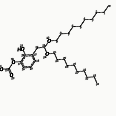 CCCCCCCCCCOC(Cc1cccc(OC(=O)O)c1O)OCCCCCCCCCC